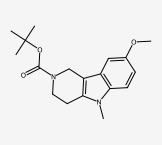 COc1ccc2c(c1)c1c(n2C)CCN(C(=O)OC(C)(C)C)C1